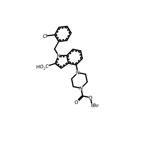 CC(C)(C)OC(=O)N1CCN(c2cccc3c2cc(C(=O)O)n3Cc2ccccc2Cl)CC1